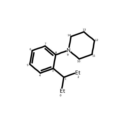 CCC(CC)c1ccccc1N1CCCCC1